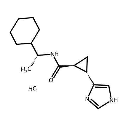 C[C@@H](NC(=O)[C@H]1C[C@@H]1c1c[nH]cn1)C1CCCCC1.Cl